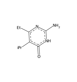 CCc1nc(N)[nH]c(=O)c1C(C)C